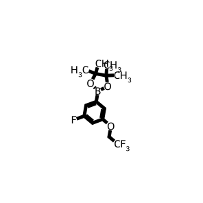 CC1(C)OB(c2cc(F)cc(OCC(F)(F)F)c2)OC1(C)C